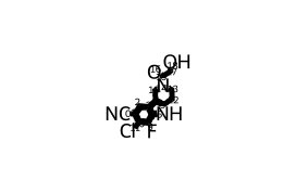 N#Cc1cc2c3c([nH]c2c(F)c1Cl)CCN(C(=O)CO)C3